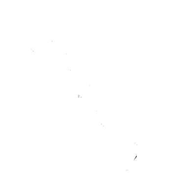 CCOC(=O)C=CCCC(NC(=O)c1cncn1C)C(=O)Nc1cccn(CC(=O)N[C@H](C(=O)O)[C@H](C)CC)c1=O